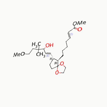 COCCC(C)(C)C(O)/C=C/[C@H]1CCC2(OCCO2)[C@@H]1CCCC/C=C/C(=O)OC